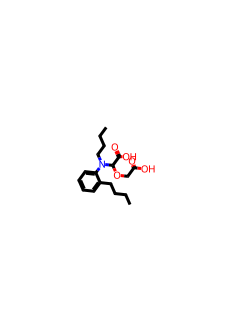 CCCCc1ccccc1N(CCCC)C(OCC(=O)O)C(=O)O